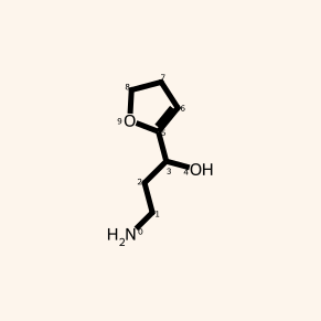 NCCC(O)C1=CCCO1